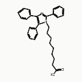 O=C(O)CCCCCCCCn1c(-c2ccccc2)nc(-c2ccccc2)c1-c1ccccc1